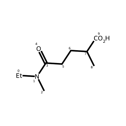 CCN(C)C(=O)CCC(C)C(=O)O